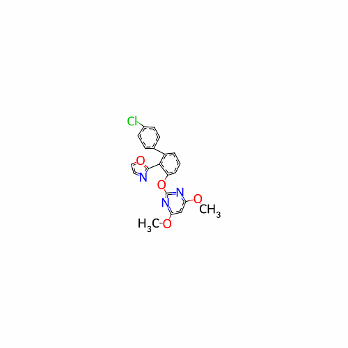 COc1cc(OC)nc(Oc2cccc(-c3ccc(Cl)cc3)c2-c2ncco2)n1